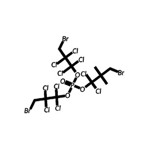 CC(C)(CBr)C(Cl)(Cl)OP(=O)(OC(Cl)(Cl)C(Cl)(Cl)CBr)OC(Cl)(Cl)C(Cl)(Cl)CBr